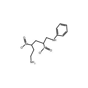 NCCC(CC(CNc1ccccc1)[N+](=O)[O-])[N+](=O)[O-]